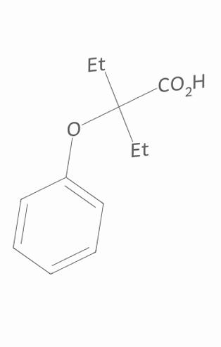 CCC(CC)(Oc1ccccc1)C(=O)O